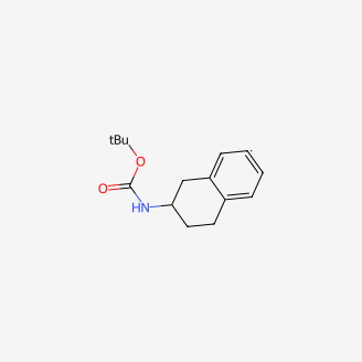 CC(C)(C)OC(=O)NC1CCc2cc[c]cc2C1